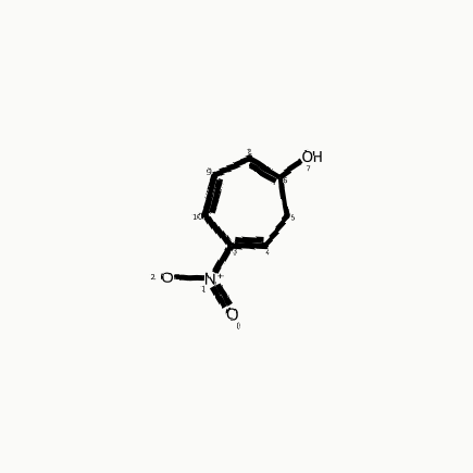 O=[N+]([O-])C1=CCC(O)=CC=C1